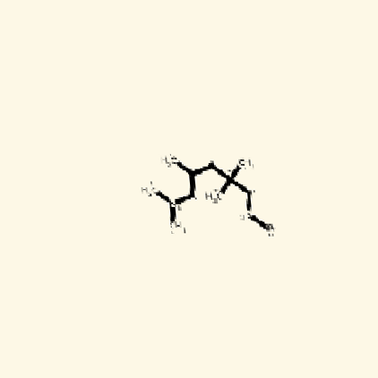 CC(CN(C)C)CC(C)(C)CSC(C)C